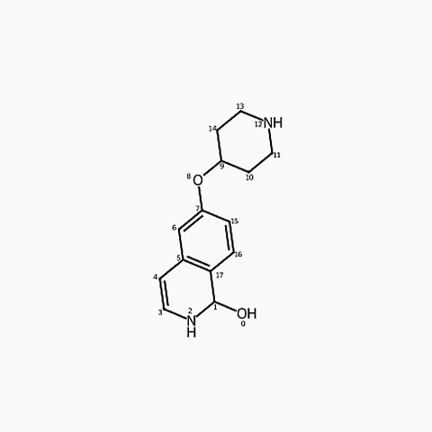 OC1NC=Cc2cc(OC3CCNCC3)ccc21